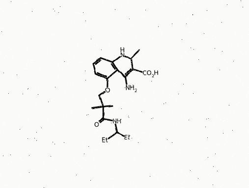 CCC(CC)NC(=O)C(C)(C)COc1cccc2c1C(N)=C(C(=O)O)C(C)N2